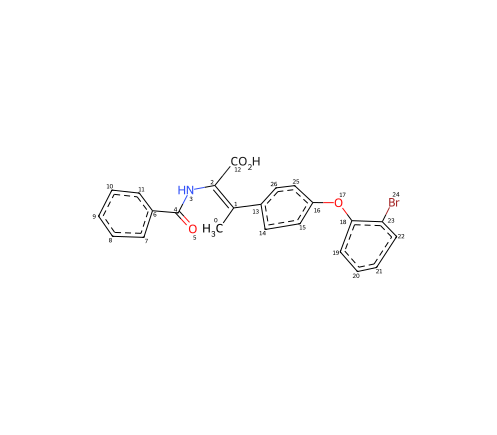 CC(=C(NC(=O)c1ccccc1)C(=O)O)c1ccc(Oc2ccccc2Br)cc1